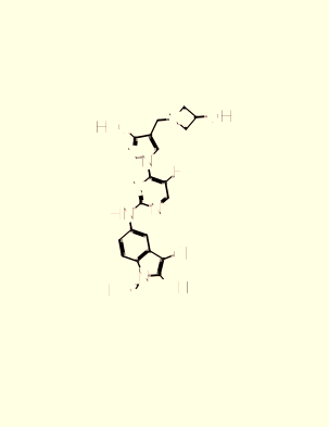 Cc1nn(-c2nc(Nc3ccc4c(c3)c(Cl)c(C)n4C)ncc2F)cc1CN1CC(O)C1